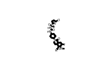 CNc1c(F)cc2c(=O)n(-c3ccc(NC(=O)NS(=O)(=O)c4ccc(Cl)s4)cc3)ccc2c1C#N